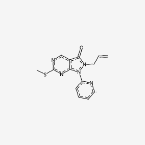 C=CCn1c(=O)c2cnc(SC)nc2n1-c1ccc[c]n1